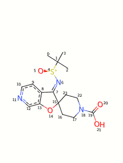 CC(C)(C)[S@+]([O-])/N=C1\c2ccncc2OC12CCN(C(=O)O)CC2